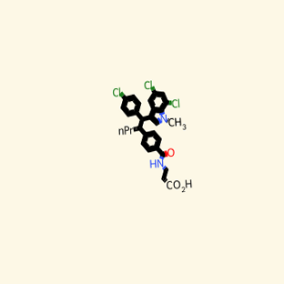 CCCC(c1ccc(C(=O)NCCC(=O)O)cc1)C(c1ccc(Cl)cc1)c1cn(C)c2c(Cl)cc(Cl)cc12